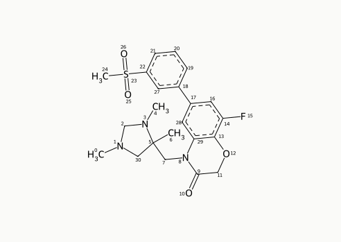 CN1CN(C)C(C)(CN2C(=O)COc3c(F)cc(-c4cccc(S(C)(=O)=O)c4)cc32)C1